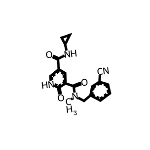 CN(Cc1cccc(C#N)c1)C(=O)c1cc(C(=O)NC2CC2)c[nH]c1=O